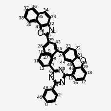 c1ccc(-c2nc(-c3ccccc3)nc(-c3cccc4oc5ccc(-c6cccc(-c7nc8ccc9ccccc9c8o7)c6)cc5c34)n2)cc1